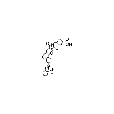 O=C(O)c1ccc(CN2C(=O)SC(Cc3coc4cc(OCc5ccccc5C(F)(F)F)ccc4c3=O)C2=O)cc1